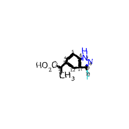 CC(C(=O)O)c1ccc2[nH]nc(F)c2c1